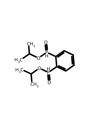 CC(C)O[PH](=O)c1ccccc1[PH](=O)OC(C)C